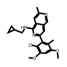 COc1cc(OC)c(Cl)c(-c2cc3cnc(C)cc3c(NCC3CC3)n2)c1C